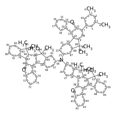 Cc1cc(C)cc(-c2cc3c(c4c2oc2ccccc24)-c2ccc(N(c4ccc5c(c4)C(C)(C)c4c6c(c7c(oc8ccccc87)c4-5)-c4ccccc4C6(C)C)c4ccc5c(c4)C(C)(C)c4c6c(c7oc8ccccc8c7c4-5)-c4ccccc4C6(C)C)cc2C3(C)C)c1